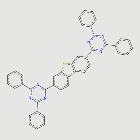 c1ccc(-c2nc(-c3ccccc3)nc(-c3ccc4c(c3)sc3cc(-c5nc(-c6ccccc6)nc(-c6ccccc6)n5)ccc34)n2)cc1